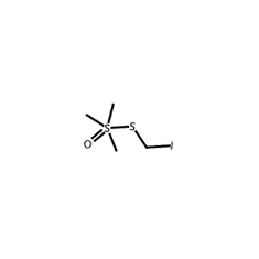 CS(C)(C)(=O)SCI